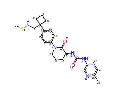 CSNCC1(c2ccc(N3CCCC(NC(=O)Nc4cnc(C)cn4)C3=O)cc2)CCC1